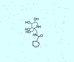 O=C(NCC1(CO)NCC(O)C(O)C1O)c1ccccc1